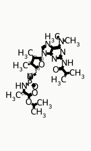 CC(C)OC(=O)[C@H](C)N[PH](=O)OC[C@H]1O[C@@H](n2cnc3c(N(C)C)nc(NC(=O)C(C)C)nc32)[C@@H](C)[C@@H]1C